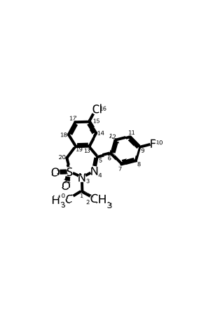 CC(C)N1N=C(c2ccc(F)cc2)c2cc(Cl)ccc2CS1(=O)=O